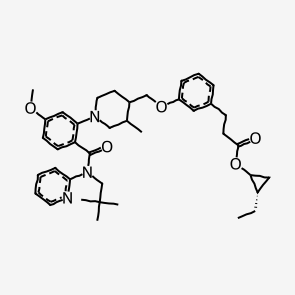 CC[C@H]1CC1OC(=O)CCc1cccc(OCC2CCN(c3cc(OC)ccc3C(=O)N(CC(C)(C)C)c3ccccn3)CC2C)c1